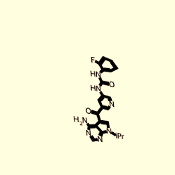 CC(C)n1cc(C(=O)c2cncc(NC(=O)Nc3ccccc3F)c2)c2c(N)ncnc21